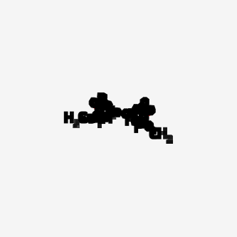 C=Cc1ccc(Oc2ccc(C3(c4ccccc4)c4ccccc4-c4ccc(N(c5ccc(-c6ccc(N(c7ccc8c(c7)C(c7ccccc7)(c7ccc(Oc9ccc(C=C)cc9)cc7)c7ccccc7-8)c7ccc(F)cc7F)cc6)cc5)c5ccc(F)cc5F)cc43)cc2)cc1